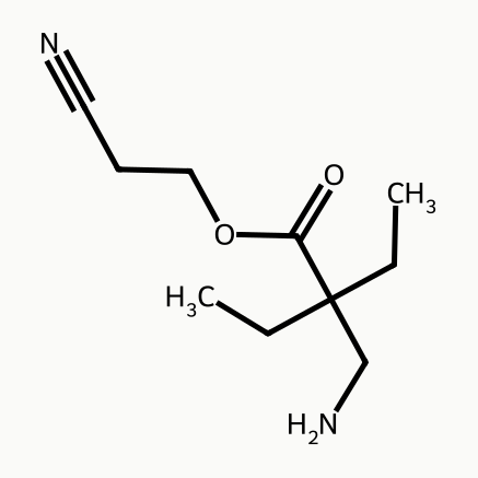 CCC(CC)(CN)C(=O)OCCC#N